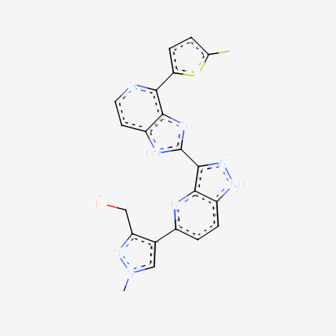 Cn1cc(-c2ccc3[nH]nc(-c4nc5c(-c6ccc(F)s6)nccc5[nH]4)c3n2)c(CO)n1